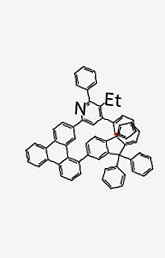 CCc1c(-c2ccccc2)cc(-c2ccc3c4ccccc4c4cccc(-c5ccc6c(c5)C(c5ccccc5)(c5ccccc5)c5ccccc5-6)c4c3c2)nc1-c1ccccc1